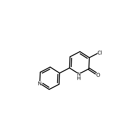 O=c1[nH]c(-c2ccncc2)ccc1Cl